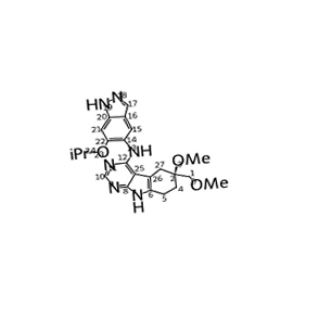 COC[C@]1(OC)CCc2[nH]c3ncnc(Nc4cc5cn[nH]c5cc4OC(C)C)c3c2C1